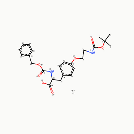 CC(C)(C)OC(=O)NCCOc1ccc(CC(NC(=O)OCc2ccccc2)C(=O)[O-])cc1.[K+]